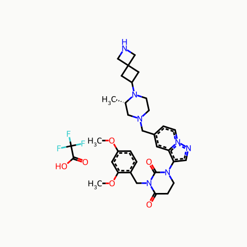 COc1ccc(CN2C(=O)CCN(c3cnn4ccc(CN5CCN(C6CC7(CNC7)C6)[C@@H](C)C5)cc34)C2=O)c(OC)c1.O=C(O)C(F)(F)F